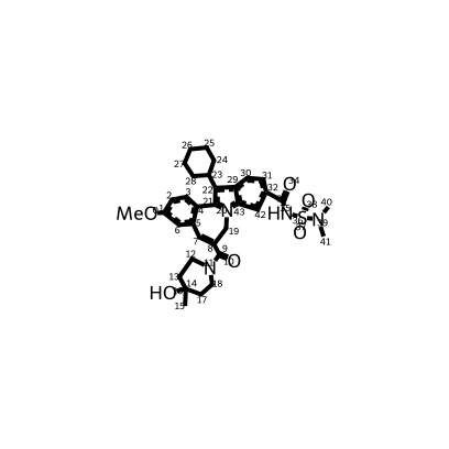 COc1ccc2c(c1)C=C(C(=O)N1CCC(C)(O)CC1)Cn1c-2c(C2CCCCC2)c2ccc(C(=O)NS(=O)(=O)N(C)C)cc21